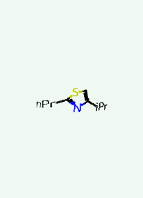 CCCc1nc(C(C)C)cs1